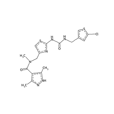 Cc1n[nH]c(C)c1C(=O)N(C)Cc1csc(NC(=O)NCc2csc(Cl)c2)n1